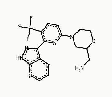 NCC1CN(c2ccc(C(F)(F)F)c(-c3n[nH]c4ncccc34)n2)CCO1